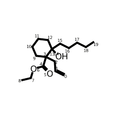 C=CCC1(C(=O)OCC)CCCCC1(O)CCCCC